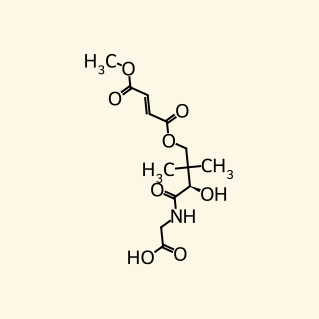 COC(=O)/C=C/C(=O)OCC(C)(C)[C@@H](O)C(=O)NCC(=O)O